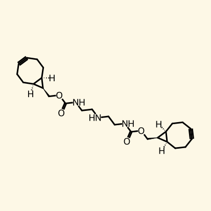 O=C(NCCNCCNC(=O)OC[C@@H]1[C@@H]2CCC#CCC[C@@H]21)OC[C@@H]1[C@@H]2CCC#CCC[C@@H]21